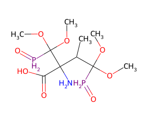 COC(OC)([PH2]=O)C(C)C(N)(C(=O)O)C(OC)(OC)[PH2]=O